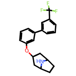 FC(F)(F)c1cccc(-c2cccc(OC3CC4CCC(C3)N4)c2)c1